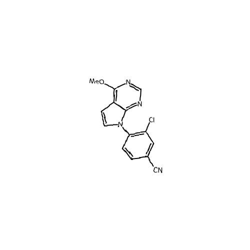 COc1ncnc2c1ccn2-c1ccc(C#N)cc1Cl